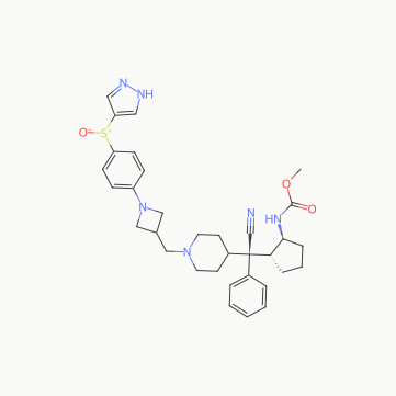 COC(=O)N[C@H]1CCC[C@@H]1[C@](C#N)(c1ccccc1)C1CCN(CC2CN(c3ccc([S+]([O-])c4cn[nH]c4)cc3)C2)CC1